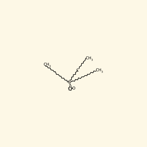 CCCCCCCCCCCCCCCCCC[N+](CCCCCCCCCCCCCCCCCC)(CCCCCCCCCCCCCCCCCC)CCN1CCCC1=O